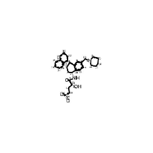 O=C(N[C@@H]1CCCc2cc(CN3CCCCC3)ccc21)[C@H](O)CC=S(=O)=O.c1ccc2ccccc2c1